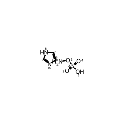 NOS(=O)(=O)O.c1c[nH]cn1